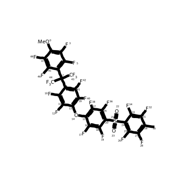 COc1c(F)c(F)c(C(c2c(F)c(F)c(Oc3c(F)c(F)c(S(=O)(=O)c4c(F)c(F)c(C)c(F)c4F)c(F)c3F)c(F)c2F)(C(F)(F)F)C(F)(F)F)c(F)c1F